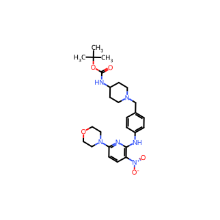 CC(C)(C)OC(=O)NC1CCN(Cc2ccc(Nc3nc(N4CCOCC4)ccc3[N+](=O)[O-])cc2)CC1